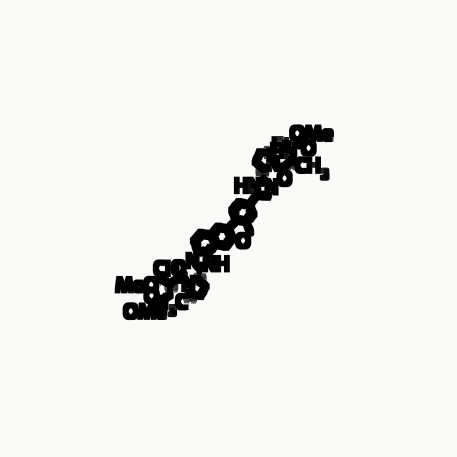 CC[C@H]1CC[C@@H](c2ncc(-c3ccc4c(c3)COc3cc5c(ccc6nc([C@@H]7CC[C@H](C)N7C(=O)[C@@H](CC(=O)OC)[C@@H](C)OC)[nH]c65)cc3-4)[nH]2)N1C(=O)[C@H](C)NC(=O)OC